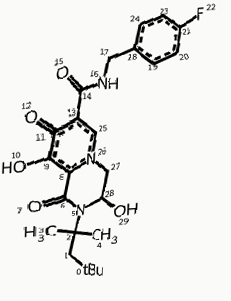 CC(C)(C)CC(C)(C)N1C(=O)c2c(O)c(=O)c(C(=O)NCc3ccc(F)cc3)cn2CC1O